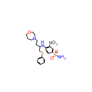 NS(=O)(=O)c1ccc(NC(CCN2CCCOCC2)CSc2ccccc2)c([N+](=O)[O-])c1